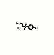 CN(CC#N)S(=O)(=O)c1ccc(Cl)cc1